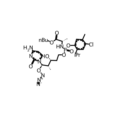 CCCCOC(=O)[C@H](C)NP(=O)(OCC[C@@H](O)[C@H](C)[C@@H](ON=[N+]=[N-])n1ccc(N)nc1=O)Oc1cc(C)c(Cl)cc1C(C)C